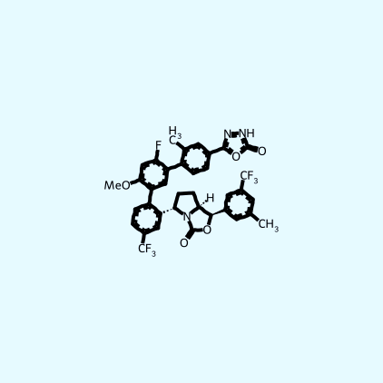 COc1cc(F)c(-c2ccc(-c3n[nH]c(=O)o3)cc2C)cc1-c1ccc(C(F)(F)F)cc1[C@@H]1CC[C@H]2[C@@H](c3cc(C)cc(C(F)(F)F)c3)OC(=O)N12